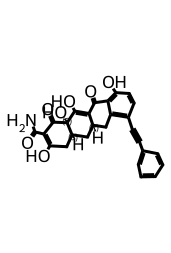 NC(=O)C1=C(O)C[C@@H]2C[C@@H]3Cc4c(C#Cc5ccccc5)ccc(O)c4C(=O)C3=C(O)[C@]2(O)C1=O